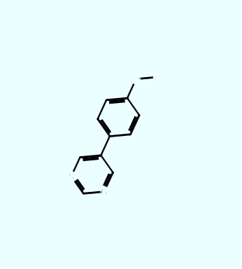 O=COc1ccc(-c2cncnc2)cc1